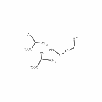 CC(=O)C(C)C(=O)[O-].CC(=O)C(C)C(=O)[O-].CCC[O][Ti+2][O]CCC